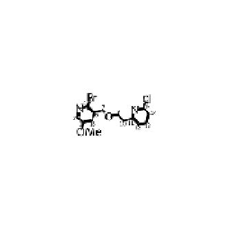 COc1cnc(Br)c(COCCc2cccc(Cl)n2)c1